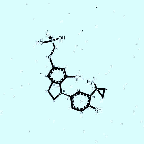 Cc1cc(OCP(=O)(O)O)cc2c1[C@@H](c1ccc(O)c(C3(C)CC3)c1)CC2